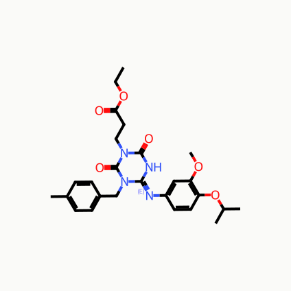 CCOC(=O)CCn1c(=O)[nH]/c(=N\c2ccc(OC(C)C)c(OC)c2)n(Cc2ccc(C)cc2)c1=O